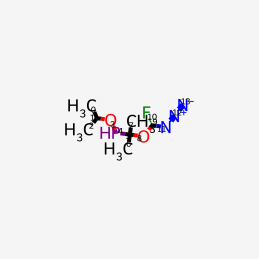 CC(C)OPC(C)(C)O[C@H](F)N=[N+]=[N-]